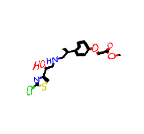 COC(=O)COc1ccc(C(C)CNCC(O)c2csc(Cl)n2)cc1